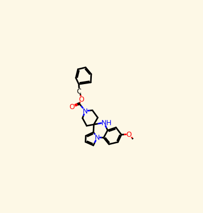 COc1ccc2c(c1)NC1(CCN(C(=O)OCc3ccccc3)CC1)c1cccn1-2